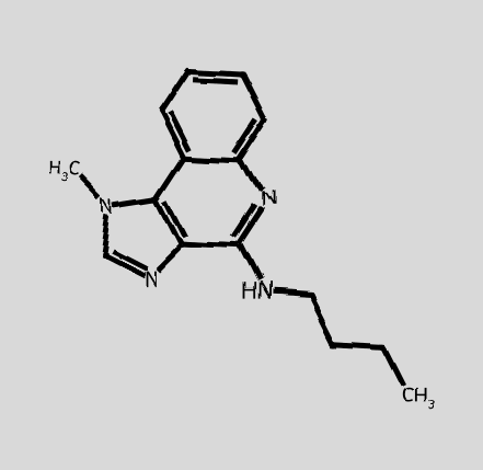 CCCCNc1nc2ccccc2c2c1ncn2C